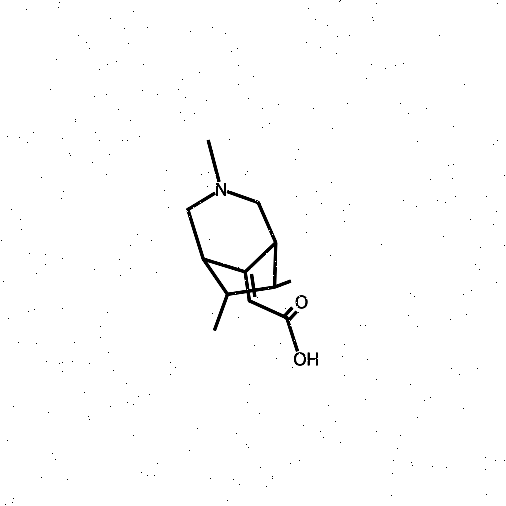 CC1C2CN(C)CC(C2=CC(=O)O)C1C